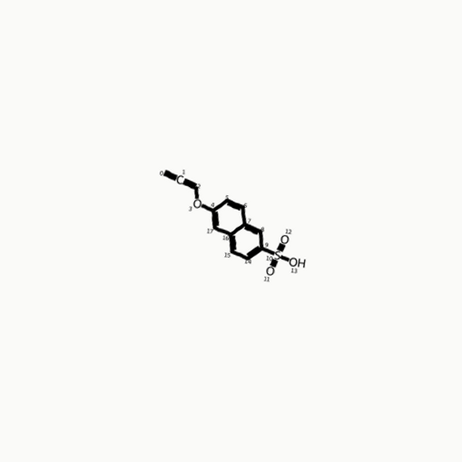 C=C=COc1ccc2cc(S(=O)(=O)O)ccc2c1